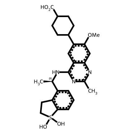 COc1cc2nc(C)nc(N[C@H](C)c3cccc4c3CCS4(O)O)c2cc1C1CCC(C(=O)O)CC1